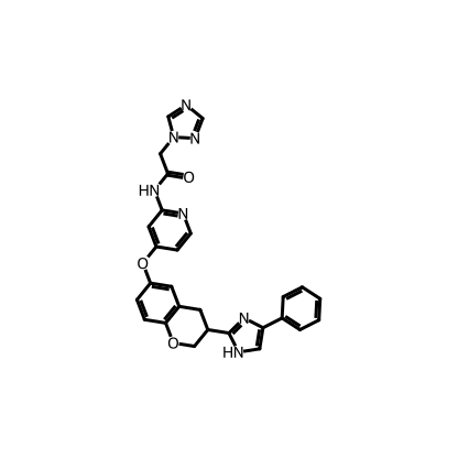 O=C(Cn1cncn1)Nc1cc(Oc2ccc3c(c2)CC(c2nc(-c4ccccc4)c[nH]2)CO3)ccn1